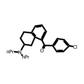 CCCN(CCC)C1CCc2cccc(C(=O)c3ccc(Cl)cc3)c2C1